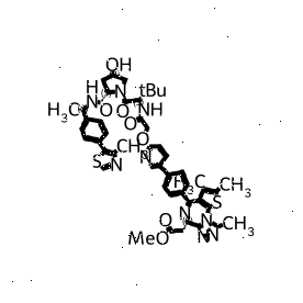 COC(=O)C[C@@H]1N=C(c2ccc(-c3ccc(OCC(=O)N[C@H](C(=O)N4C[C@H](O)C[C@H]4C(=O)N[C@@H](C)c4ccc(-c5scnc5C)cc4)C(C)(C)C)nc3)cc2)c2c(sc(C)c2C)-n2c(C)nnc21